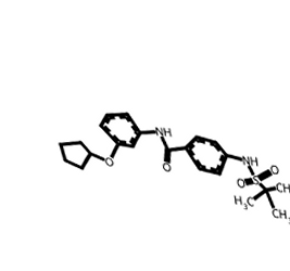 CC(C)(C)S(=O)(=O)Nc1ccc(C(=O)Nc2cccc(OC3CCCC3)c2)cc1